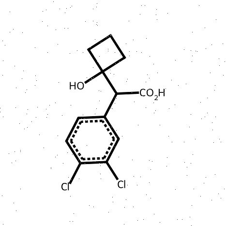 O=C(O)C(c1ccc(Cl)c(Cl)c1)C1(O)CCC1